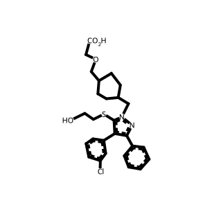 O=C(O)COCC1CCC(Cn2nc(-c3ccccc3)c(-c3cccc(Cl)c3)c2SCCO)CC1